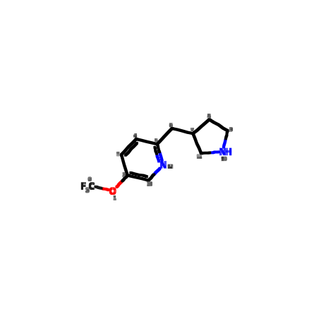 FC(F)(F)Oc1ccc(CC2CCNC2)nc1